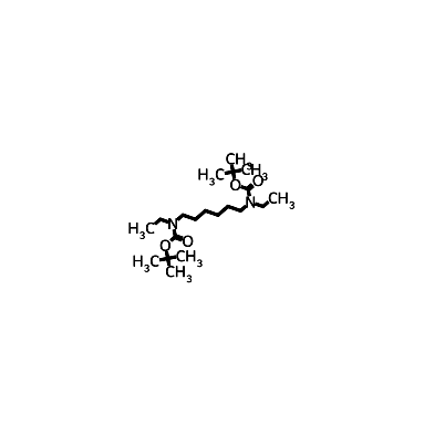 CCN(CCCCCCN(CC)C(=O)OC(C)(C)C)C(=O)OC(C)(C)C